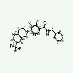 Cc1c(C(=O)NCc2ccncc2)nnc(N2CCc3ncc(C(F)(F)F)cc3C2)c1C